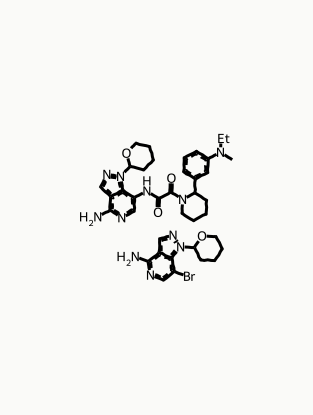 CCN(C)c1cccc(C2CCCCN2C(=O)C(=O)Nc2cnc(N)c3cnn(C4CCCCO4)c23)c1.Nc1ncc(Br)c2c1cnn2C1CCCCO1